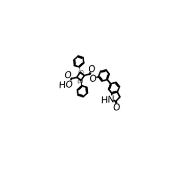 O=C1Cc2ccc(-c3cccc(OC(=O)C4[C@@H](c5ccccc5)C(C(=O)O)[C@@H]4c4ccccc4)c3)cc2N1